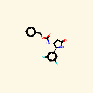 O=C1C[C@@H](NC(=O)OCc2ccccc2)[C@H](c2cc(F)cc(F)c2)N1